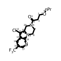 CCCOCCC(=O)N1CCn2c(c(Cl)c3cc(C(F)(F)F)cnc32)C1